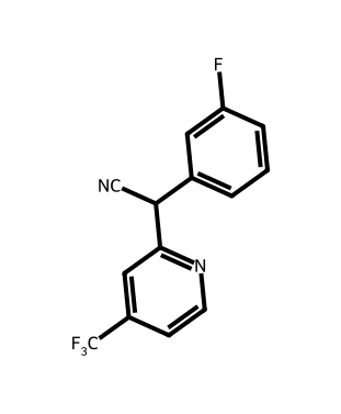 N#CC(c1cccc(F)c1)c1cc(C(F)(F)F)ccn1